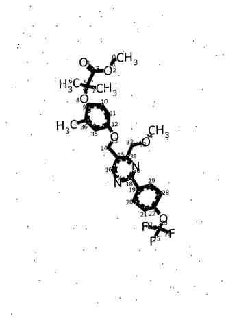 CCOC(=O)C(C)(C)Oc1ccc(OCc2cnc(-c3ccc(OC(F)(F)F)cc3)nc2COC)cc1C